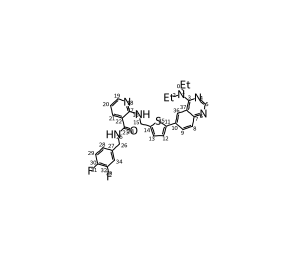 CCN(CC)c1ncnc2ccc(-c3ccc(CNc4ncccc4C(=O)NCc4ccc(F)c(F)c4)s3)cc12